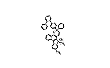 Cc1ccc2c(c1)C(C)(C)c1c3c(c4ccccc4c1-2)OC(c1ccccc1)(c1ccc(-c2ccccc2-c2ccccc2)cc1)C=C3